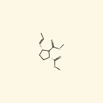 CC=C[C@H]1CC[C@@H](C(=O)OC)N1C(=O)OC